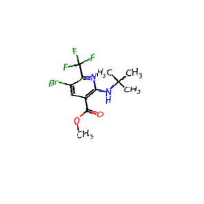 COC(=O)c1cc(Br)c(C(F)(F)F)nc1NC(C)(C)C